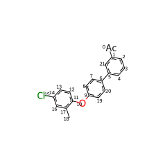 CC(=O)c1cccc(-c2ccc(Oc3ccc(Cl)cc3C)cc2)c1